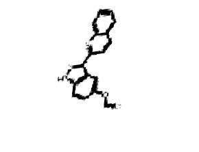 O=COc1ccc2[nH]nc(-c3ccc4ccccc4n3)c2c1